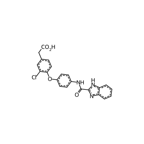 O=C(O)Cc1ccc(Oc2ccc(NC(=O)c3nc4ccccc4[nH]3)cc2)c(Cl)c1